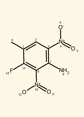 Cc1cc([N+](=O)[O-])c(N)c([N+](=O)[O-])c1F